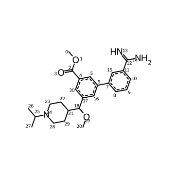 COC(=O)c1cc(-c2cccc(C(=N)N)c2)cc(C(OC)C2CCN(C(C)C)CC2)c1